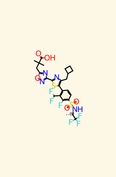 C[C@H](NS(=O)(=O)c1ccc(-c2sc(-c3noc(CC(C)(C)C(=O)O)n3)nc2CC2CCC2)c(C(F)F)c1F)C(F)(F)F